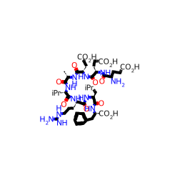 CC(C)C[C@H](NC(=O)[C@H](CCCNC(=N)N)NC(=O)[C@@H](NC(=O)[C@H](C)NC(=O)[C@H](CCC(=O)O)NC(=O)[C@H](CCC(=O)O)NC(=O)[C@@H](N)CCC(=O)O)C(C)C)C(=O)N[C@@H](Cc1ccccc1)C(=O)O